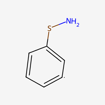 NSc1c[c]ccc1